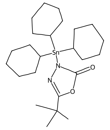 CC(C)(C)c1n[n]([Sn]([CH]2CCCCC2)([CH]2CCCCC2)[CH]2CCCCC2)c(=O)o1